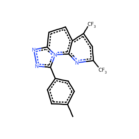 Cc1ccc(-c2nnc3ccc4c(C(F)(F)F)cc(C(F)(F)F)nc4n23)cc1